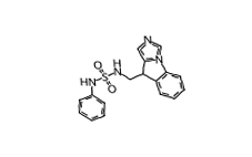 O=S(=O)(NCC1c2ccccc2-n2cncc21)Nc1ccccc1